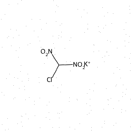 O=[N+]([O-])C(Cl)[N+](=O)[O-].[K+]